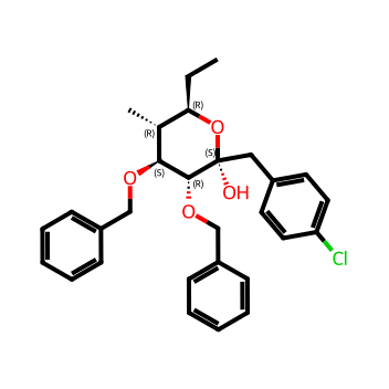 CC[C@H]1O[C@@](O)(Cc2ccc(Cl)cc2)[C@H](OCc2ccccc2)[C@@H](OCc2ccccc2)[C@@H]1C